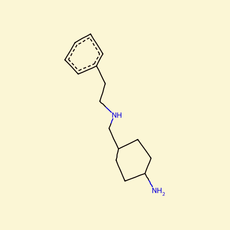 NC1CCC(CNCCc2ccccc2)CC1